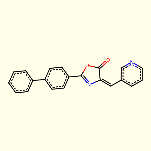 O=C1OC(c2ccc(-c3ccccc3)cc2)=N/C1=C/c1cccnc1